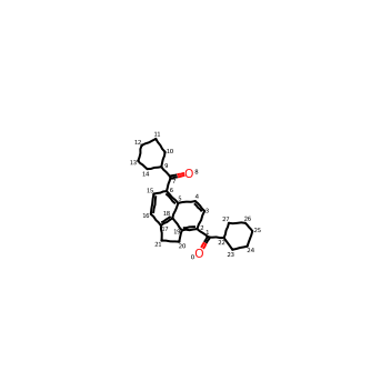 O=C(c1ccc2c(C(=O)C3CCCCC3)ccc3c2c1CC3)C1CCCCC1